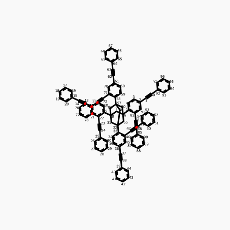 C(#Cc1ccc(C23CC4(c5ccc(C#Cc6ccccc6)cc5C#Cc5ccccc5)CC(c5ccc(C#Cc6ccccc6)cc5C#Cc5ccccc5)(C2)CC(c2ccc(C#Cc5ccccc5)cc2C#Cc2ccccc2)(C3)C4)c(C#Cc2ccccc2)c1)c1ccccc1